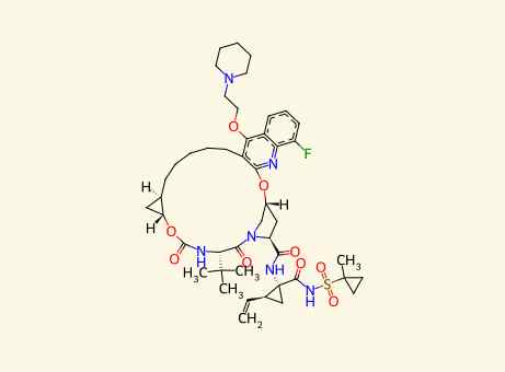 C=C[C@@H]1C[C@]1(NC(=O)[C@@H]1C[C@@H]2CN1C(=O)[C@H](C(C)(C)C)NC(=O)O[C@@H]1C[C@H]1CCCCCc1c(nc3c(F)cccc3c1OCCN1CCCCC1)O2)C(=O)NS(=O)(=O)C1(C)CC1